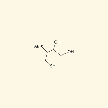 CSC(CS)C(O)CO